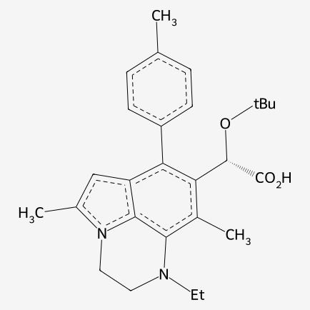 CCN1CCn2c(C)cc3c(-c4ccc(C)cc4)c([C@H](OC(C)(C)C)C(=O)O)c(C)c1c32